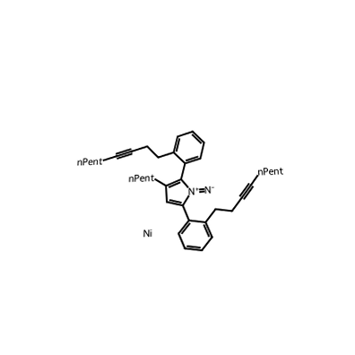 CCCCCC#CCCc1ccccc1C1=CC(CCCCC)=C(c2ccccc2CCC#CCCCCC)[N+]1=[N-].[Ni]